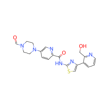 O=CN1CCN(c2ccc(C(=O)Nc3nc(-c4cccnc4CO)cs3)nc2)CC1